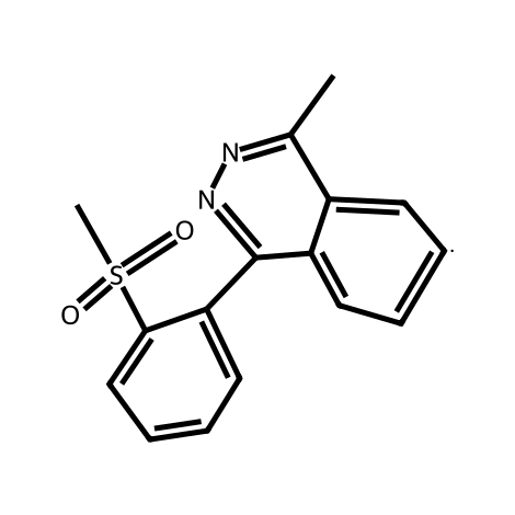 Cc1nnc(-c2ccccc2S(C)(=O)=O)c2cc[c]cc12